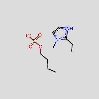 CCCCOS(=O)(=O)[O-].CCc1[nH]cc[n+]1C